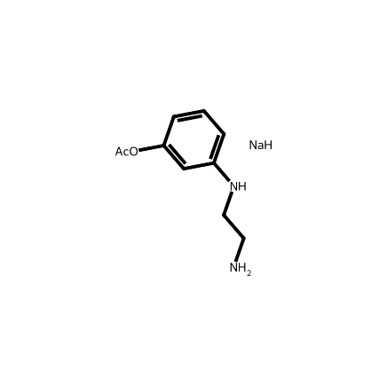 CC(=O)Oc1cccc(NCCN)c1.[NaH]